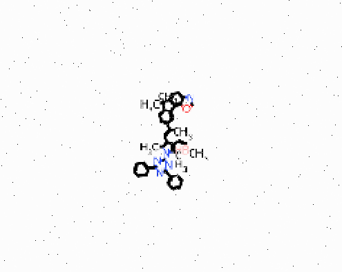 CB/C=C\c1c(/C=C(\C)c2ccc3c(c2)-c2c(ccc4ncoc24)C3(C)C)c(C)n(-c2nc(-c3ccccc3)nc(-c3ccccc3)n2)c1C